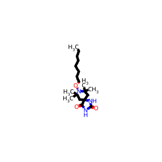 CCCCCCCCON1C(C)(C)CC2(CC1(C)C)NC(=O)NC2=O